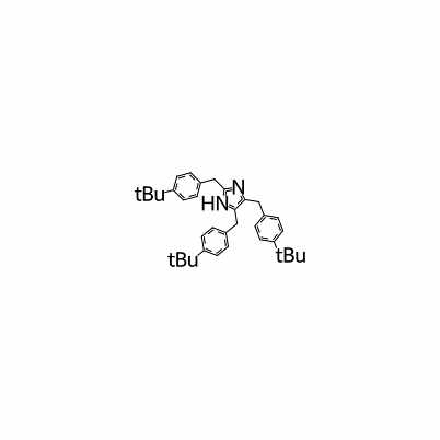 CC(C)(C)c1ccc(Cc2nc(Cc3ccc(C(C)(C)C)cc3)c(Cc3ccc(C(C)(C)C)cc3)[nH]2)cc1